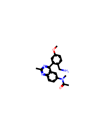 COc1ccc(CN)c(-c2nc(C)nc3ccc(N(C)C(C)=O)cc23)c1